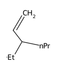 C=CC([CH]C)CCC